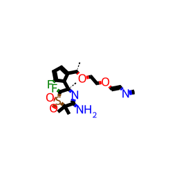 C=N/C=C/OCCO[C@@H](C)C1=CC=C(F)C1[C@@]1(C)N=C(N)C(C)(C)S(=O)(=O)C1F